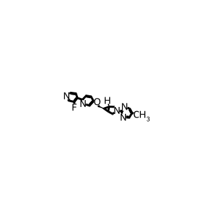 Cc1cnc(N2CC3[C@@H](COc4ccc(-c5ccncc5F)nc4)[C@@H]3C2)nc1